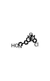 CC1Cc2cc(-c3ccc(O)nc3)ccc2C=NN1C(=O)N(C)c1ccc(Cl)cc1